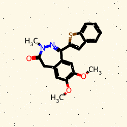 COc1cc2c(cc1OC)C(c1cc3ccccc3s1)=NN(C)C(=O)C2